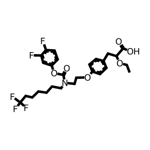 CCOC(Cc1ccc(OCCN(CCCCCCC(F)(F)F)C(=O)Oc2ccc(F)c(F)c2)cc1)C(=O)O